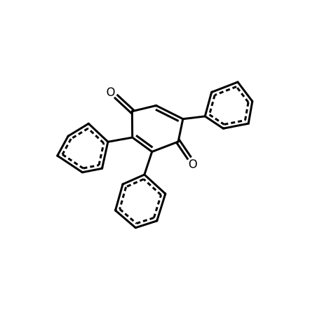 O=C1C=C(c2ccccc2)C(=O)C(c2ccccc2)=C1c1ccccc1